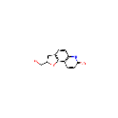 O=c1ccc2c3c(ccc2[nH]1)CC(CO)O3